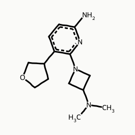 CN(C)C1CN(c2nc(N)ccc2C2CCOC2)C1